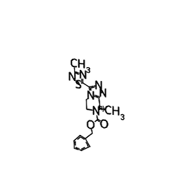 Cc1nsc(-c2nnc3n2CCN(C(=O)OCc2ccccc2)[C@@H]3C)n1